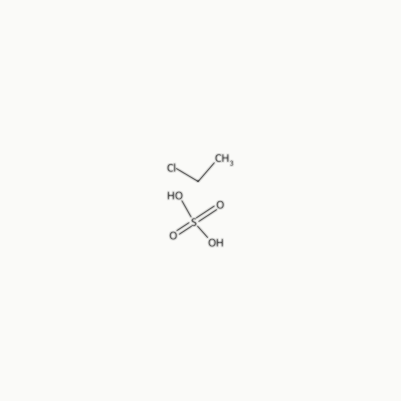 CCCl.O=S(=O)(O)O